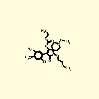 CCOC(=O)OC1=C(c2cc(C)c(C)cc2Cl)C(=O)N(OCCOC)C12CCN(OC)CC2